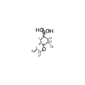 C=CC(C)Oc1ccc(B(O)O)cc1C